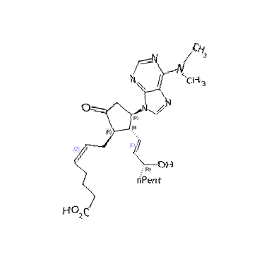 CCCCC[C@@H](O)/C=C/[C@H]1[C@H](n2cnc3c(N(C)C)ncnc32)CC(=O)[C@@H]1C/C=C\CCCC(=O)O